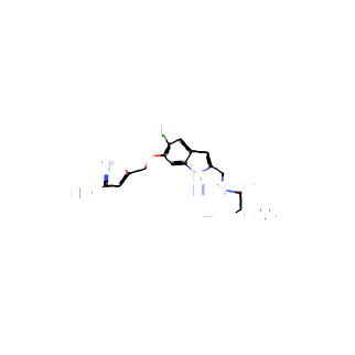 COC(C)C(=O)NCc1cc2cc(Cl)c(OCc3cc(C)no3)cc2[nH]1